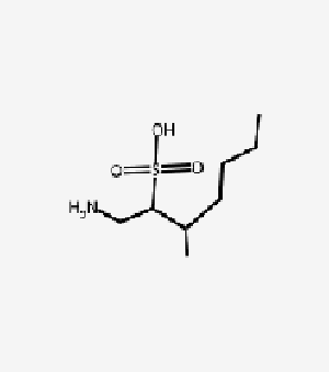 CCCCC(C)C(CN)S(=O)(=O)O